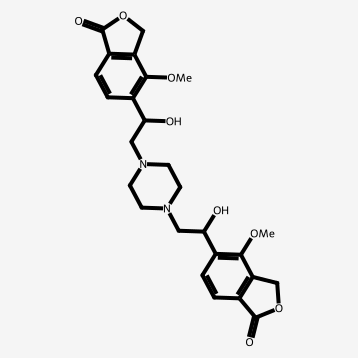 COc1c(C(O)CN2CCN(CC(O)c3ccc4c(c3OC)COC4=O)CC2)ccc2c1COC2=O